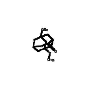 COC12CC3CC(OC=O)(CC(C1)C(=O)O3)C2